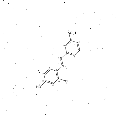 O=S(=O)(O)c1cccc(/N=N/c2ccc(O)cc2Cl)c1